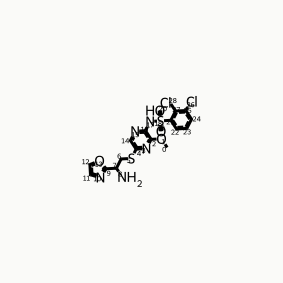 COc1nc(SCC(N)c2ncco2)cnc1NS(=O)(=O)c1cccc(Cl)c1Cl